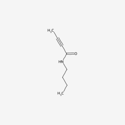 CC#CC(=O)NCCCC